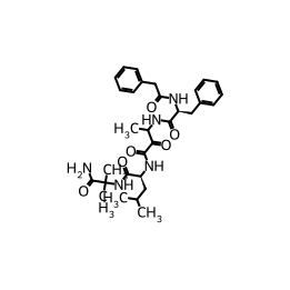 CC(C)C[C@H](NC(=O)C(=O)C(C)NC(=O)[C@H](Cc1ccccc1)NC(=O)Cc1ccccc1)C(=O)NC(C)(C)C(N)=O